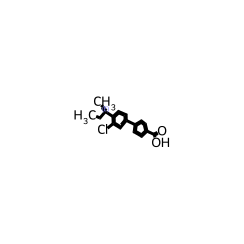 C/C=C(\CC)c1ccc(-c2ccc(C(=O)O)cc2)cc1Cl